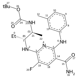 CC[C@@H](Nc1nc(Nc2cccc(C)c2)c(C(N)=O)cc1F)[C@H](C)NC(=O)OC(C)(C)C